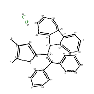 CC1=C(C)C[C]([Zr+2](=[C](c2ccccc2)c2ccccc2)[CH]2c3ccccc3-c3ccccc32)=C1.[Cl-].[Cl-]